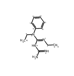 CCN=C(NC(=N)N)N(CC)c1ccccc1